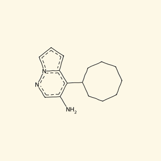 Nc1cnn2cccc2c1C1CCCCCCC1